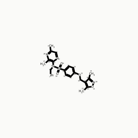 Cc1cnc(N(CC(C)C)S(=O)(=O)c2ccc(OCc3c(C)noc3C)cc2)c(C)n1